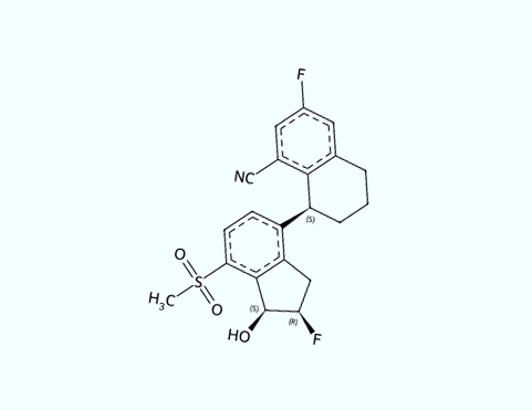 CS(=O)(=O)c1ccc([C@@H]2CCCc3cc(F)cc(C#N)c32)c2c1[C@H](O)[C@H](F)C2